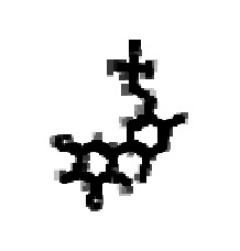 Cc1cc(F)c(-c2cc(=O)n(C)c(=O)n2C)cc1SCC(F)(F)F